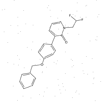 O=c1c(-c2ccc(OCc3ccccc3)cc2)cccn1CC(F)F